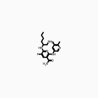 CCCCC(CN)Nc1nc(Nc2cnc(C)c(C)c2)c(C(N)=O)cc1F